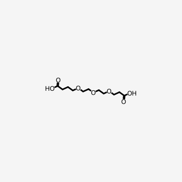 O=C(O)CCCOCCOCCOCCC(=O)O